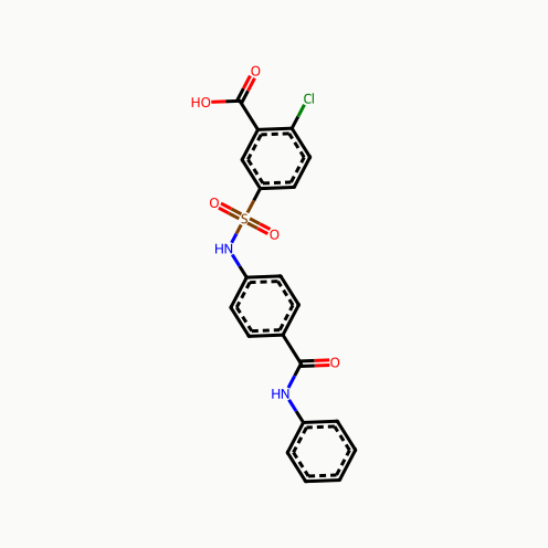 O=C(Nc1ccccc1)c1ccc(NS(=O)(=O)c2ccc(Cl)c(C(=O)O)c2)cc1